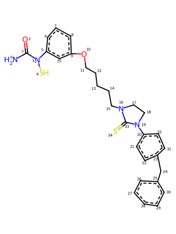 NC(=O)N(S)c1cccc(OCCCCCN2CCN(c3ccc(Cc4ccccc4)cc3)C2=S)c1